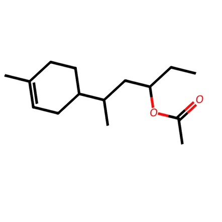 CCC(CC(C)C1CC=C(C)CC1)OC(C)=O